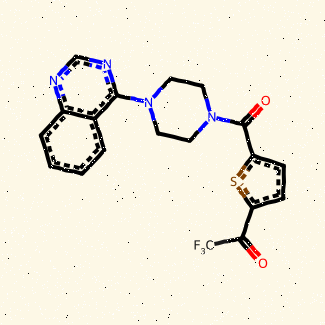 O=C(c1ccc(C(=O)C(F)(F)F)s1)N1CCN(c2ncnc3ccccc23)CC1